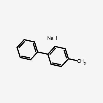 Cc1ccc(-c2ccccc2)cc1.[NaH]